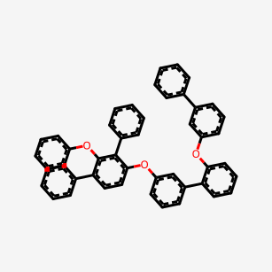 c1ccc(Oc2c(-c3ccccc3)ccc(Oc3cccc(-c4ccccc4Oc4cccc(-c5ccccc5)c4)c3)c2-c2ccccc2)cc1